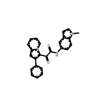 Cn1ccc2cc(NC(=O)C(=O)c3c(-c4ccccc4)cc4ccccn34)ccc21